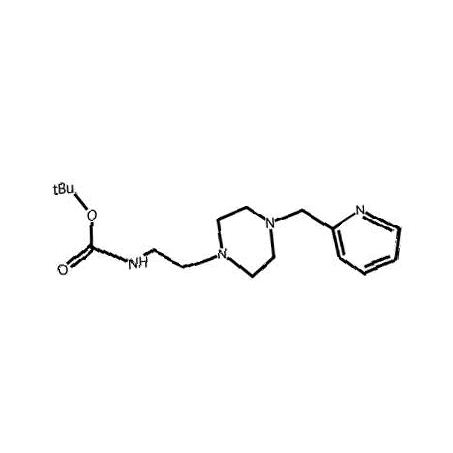 CC(C)(C)OC(=O)NCCN1CCN(Cc2ccccn2)CC1